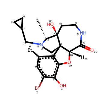 CCc1cc(Br)c(O)c2c1[C@]13CCN(CC4CC4)[C@H](C)[C@]1(O)CCNC(=O)[C@@H]3O2